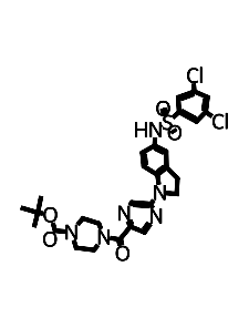 CC(C)(C)OC(=O)N1CCN(C(=O)c2cnc(N3CCc4cc(NS(=O)(=O)c5cc(Cl)cc(Cl)c5)ccc43)cn2)CC1